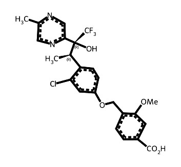 COc1cc(C(=O)O)ccc1COc1ccc([C@@H](C)[C@@](O)(c2cnc(C)cn2)C(F)(F)F)c(Cl)c1